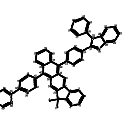 CC1(C)c2ccccc2-c2cc3c(-c4ccc(-c5nc6ccccc6n5-c5ccccc5)cc4)c4ccccc4c(-c4ccc(-c5ccccn5)nc4)c3cc21